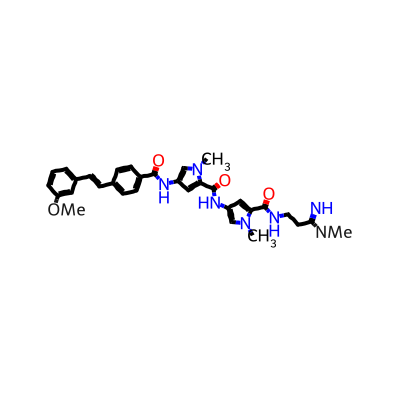 CNC(=N)CCNC(=O)c1cc(NC(=O)c2cc(NC(=O)c3ccc(/C=C/c4cccc(OC)c4)cc3)cn2C)cn1C